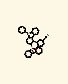 N#Cc1ccc(C#N)c(-c2c(-n3c4ccccc4c4ccccc43)ccc3c2c2ccccc2n3-c2ccccc2)c1